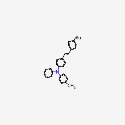 CCC(C)c1ccc(C=Cc2ccc(N(c3ccccc3)c3ccc(C)cc3)cc2)cc1